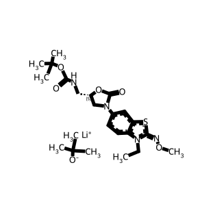 CC(C)(C)[O-].CCn1c(=NOC)sc2cc(N3C[C@H](CNC(=O)OC(C)(C)C)OC3=O)ccc21.[Li+]